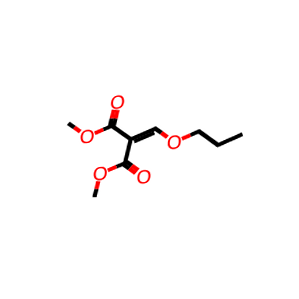 CCCOC=C(C(=O)OC)C(=O)OC